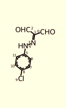 O=CC(C=O)=NNc1ccc(Cl)cc1